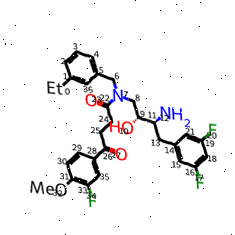 CCc1cccc(CN(C[C@@H](O)[C@@H](N)Cc2cc(F)cc(F)c2)C(=O)CCC(=O)c2ccc(OC)c(F)c2)c1